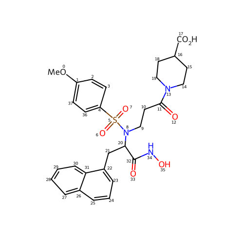 COc1ccc(S(=O)(=O)N(CCC(=O)N2CCC(C(=O)O)CC2)C(Cc2cccc3ccccc23)C(=O)NO)cc1